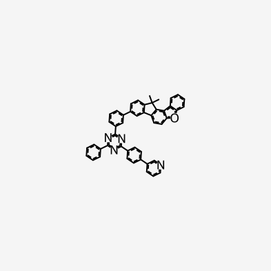 CC1(C)c2ccc(-c3cccc(-c4nc(-c5ccccc5)nc(-c5ccc(-c6cccnc6)cc5)n4)c3)cc2-c2ccc3oc4ccccc4c3c21